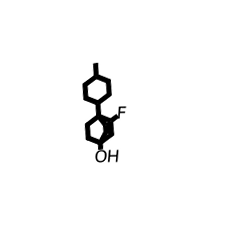 CC1CCC(C23CCC(O)(C=C2F)CC3)CC1